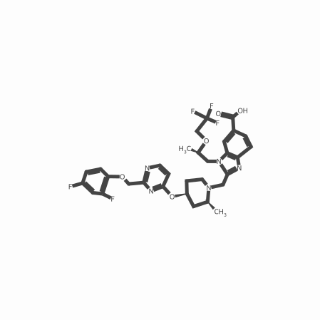 C[C@H](Cn1c(CN2CC[C@H](Oc3ccnc(COc4ccc(F)cc4F)n3)C[C@@H]2C)nc2ccc(C(=O)O)cc21)OCC(F)(F)F